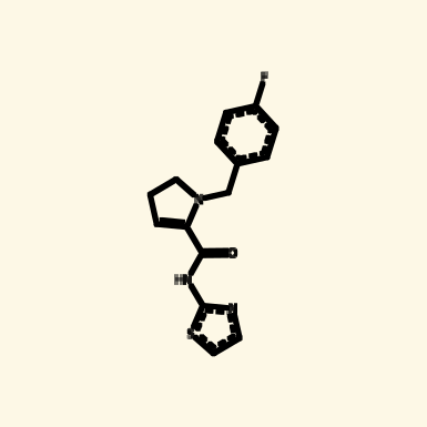 O=C(Nc1nccs1)C1=CCCN1Cc1ccc(F)cc1